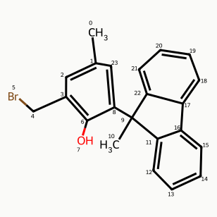 Cc1cc(CBr)c(O)c(C2(C)c3ccccc3-c3ccccc32)c1